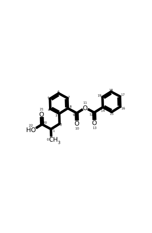 CC(Cc1ccccc1C(=O)OC(=O)c1ccccc1)C(=O)O